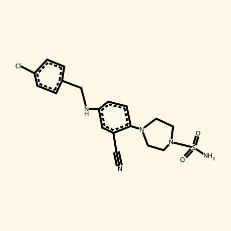 N#Cc1cc(NCc2ccc(Cl)cc2)ccc1N1CCN(S(N)(=O)=O)CC1